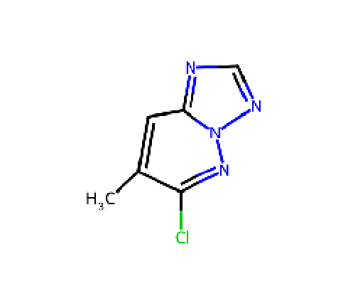 Cc1cc2ncnn2nc1Cl